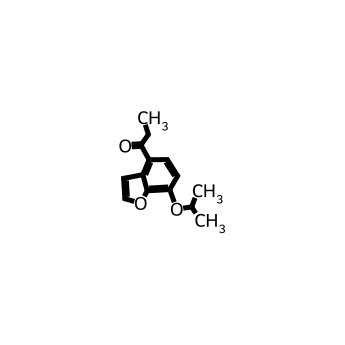 CCC(=O)c1ccc(OC(C)C)c2occc12